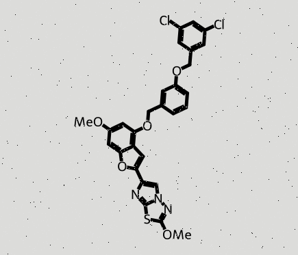 COc1cc(OCc2cccc(OCc3cc(Cl)cc(Cl)c3)c2)c2cc(-c3cn4nc(OC)sc4n3)oc2c1